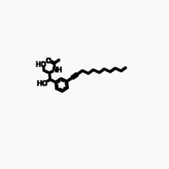 CCCCCCCCCC#Cc1cccc(C(O)C(CO)NC(C)=O)c1